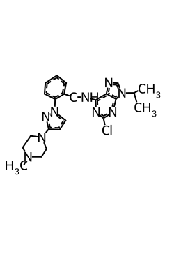 CC(C)n1cnc2c(NCc3ccccc3-n3ccc(N4CCN(C)CC4)n3)nc(Cl)nc21